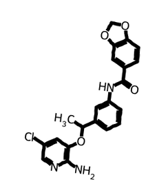 CC(Oc1cc(Cl)cnc1N)c1cccc(NC(=O)c2ccc3c(c2)OCO3)c1